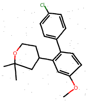 COc1[c]c(C2CCOC(C)(C)C2)c(-c2ccc(Cl)cc2)cc1